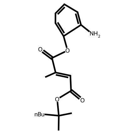 CCCCC(C)(C)OC(=O)C=C(C)C(=O)Oc1ccccc1N